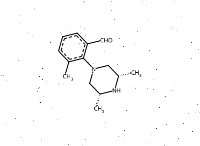 Cc1cccc(C=O)c1N1C[C@@H](C)N[C@@H](C)C1